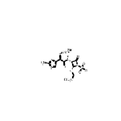 CCOC(=O)CO[C@@H]1[C@H](NC(=O)C(=NOC)c2csc(N)n2)C(=O)N1S(=O)(=O)[O-].[Na+]